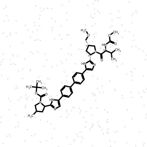 COC[C@H]1C[C@@H](c2ncc(-c3ccc(-c4ccc(-c5cnc(C6CC(C)CN6C(=O)OC(C)(C)C)[nH]5)cc4)cc3)[nH]2)N(C(=O)[C@@H](NC(=O)OC)C(C)C)C1